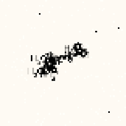 CC(C)(C)NC(=O)[C@H](CCCCNC(=O)OCC1c2ccccc2-c2ccccc21)NC(=O)C1CCCN1C(=O)OC(C)(C)C